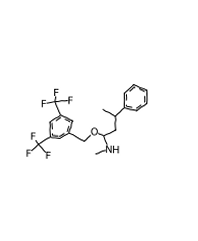 CNC(CC(C)c1ccccc1)OCc1cc(C(F)(F)F)cc(C(F)(F)F)c1